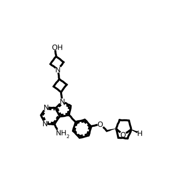 Nc1ncnc2c1c(-c1cccc(OC[C@]34CC[C@H](CC3)O4)c1)cn2C1CC(N2CC(O)C2)C1